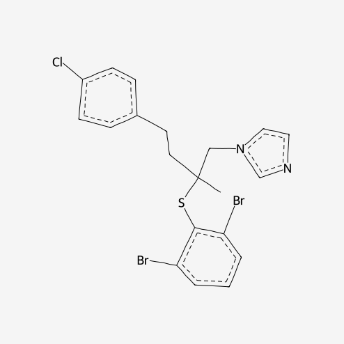 CC(CCc1ccc(Cl)cc1)(Cn1ccnc1)Sc1c(Br)cccc1Br